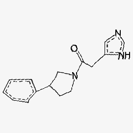 O=C(Cc1cnc[nH]1)N1CCC(c2ccccc2)C1